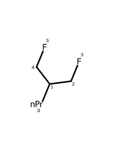 CCCC(CF)CF